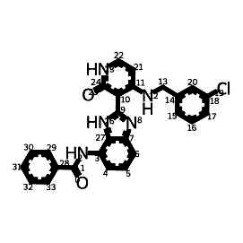 O=C(Nc1cccc2nc(-c3c(NCc4cccc(Cl)c4)cc[nH]c3=O)[nH]c12)c1ccccc1